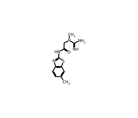 Cc1ccc2nc(NC(=O)CN(C)C(=N)N)sc2c1